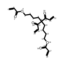 C=CC(=O)OCCCCC(CCCCOC(=O)C=C)(C(=O)C=C)C(=O)C=C